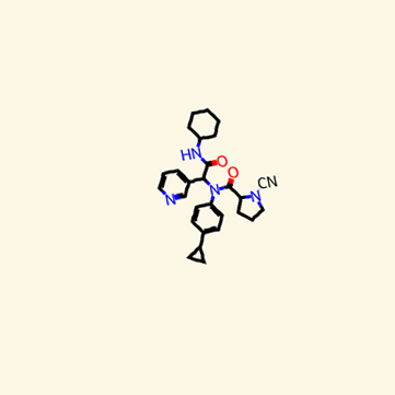 N#CN1CCCC1C(=O)N(c1ccc(C2CC2)cc1)C(C(=O)NC1CCCCC1)c1cccnc1